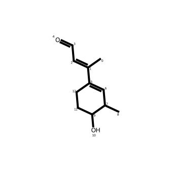 CC(=CC=O)C1=CC(C)C(O)CC1